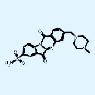 CN1CCN(Cc2ccc3c(=O)n4c(nc3c2)C(=O)c2cc(S(N)(=O)=O)ccc2-4)CC1